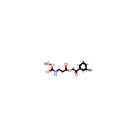 CC(C)(C)OC(=O)NCCC(=O)OCC(=O)c1cccc(Br)c1